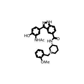 COc1ccccc1CN1CCC[C@@H](NC(=O)c2ccc3[nH]nc(-c4ccc(O)c(NC(C)=O)c4)c3c2)C1